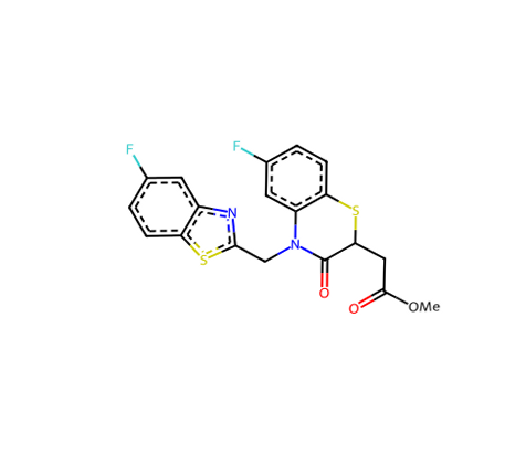 COC(=O)CC1Sc2ccc(F)cc2N(Cc2nc3cc(F)ccc3s2)C1=O